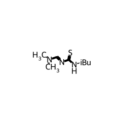 CC[C@@H](C)NC(=S)N=CN(C)C